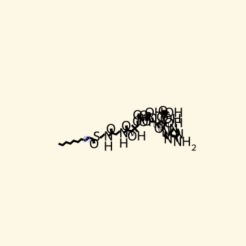 CCCCCCC/C=C/C(=O)SCCNC(=O)CCNC(=O)[C@H](O)C(C)(C)COP(=O)(O)OP(=O)(O)OC[C@H]1O[C@@H](n2cnc3c(N)ncnc32)[C@H](O)[C@@H]1OP(=O)(O)O